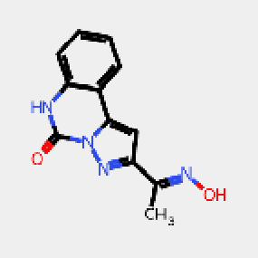 CC(=NO)c1cc2c3ccccc3[nH]c(=O)n2n1